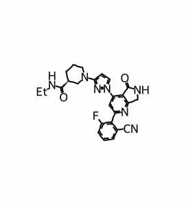 CCNC(=O)[C@H]1CCCN(c2ccn(-c3cc(-c4c(F)cccc4C#N)nc4c3C(=O)NC4)n2)C1